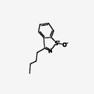 CCCCc1n[s+]([O-])c2ccccc12